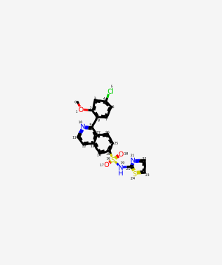 COc1cc(Cl)ccc1-c1nccc2cc(S(=O)(=O)Nc3nccs3)ccc12